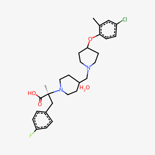 Cc1cc(Cl)ccc1OC1CCN(CC2CCN([C@@](C)(Cc3ccc(F)cc3)C(=O)O)CC2)CC1.O